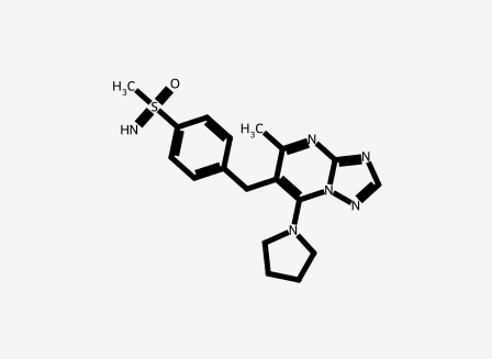 Cc1nc2ncnn2c(N2CCCC2)c1Cc1ccc(S(C)(=N)=O)cc1